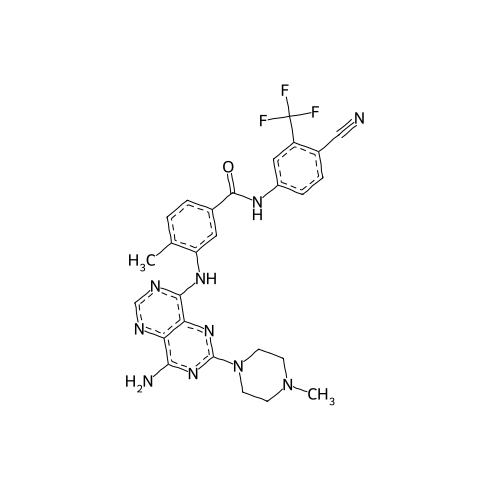 Cc1ccc(C(=O)Nc2ccc(C#N)c(C(F)(F)F)c2)cc1Nc1ncnc2c(N)nc(N3CCN(C)CC3)nc12